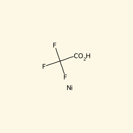 O=C(O)C(F)(F)F.[Ni]